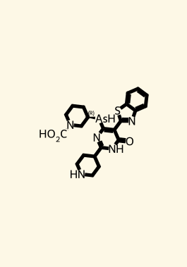 O=C(O)N1CCC[C@@H]([AsH]c2nc(C3CCNCC3)[nH]c(=O)c2-c2nc3ccccc3s2)C1